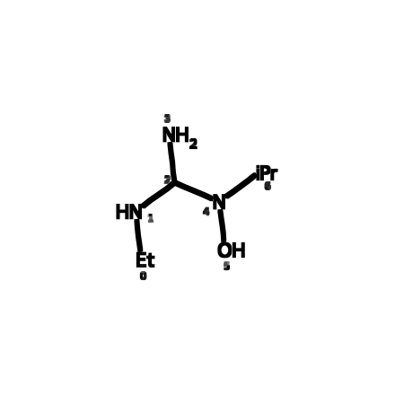 CCNC(N)N(O)C(C)C